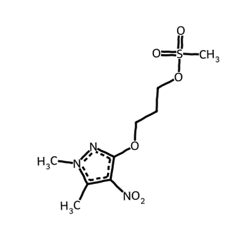 Cc1c([N+](=O)[O-])c(OCCCOS(C)(=O)=O)nn1C